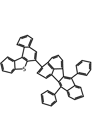 c1ccc(-c2c3c(c(-c4ccccc4)c4ccccc24)-c2ccc(-c4cc5ccccc5c5c4sc4ccccc45)c4cccc-3c24)cc1